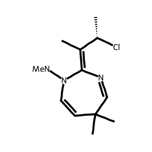 CNN1C=CC(C)(C)C=N/C1=C(/C)[C@H](C)Cl